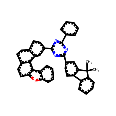 CC1(C)c2ccccc2-c2ccc(-c3nc(-c4ccccc4)nc(-c4ccc5ccc6ccc7oc8ccccc8c7c6c5c4)n3)cc21